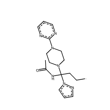 [CH2]CCC(NC(C)=O)(N1CCN(c2ncccn2)CC1)n1cccn1